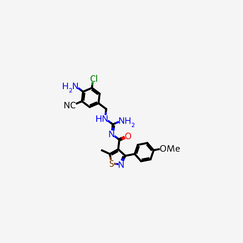 COc1ccc(-c2nsc(C)c2C(=O)/N=C(\N)NCc2cc(Cl)c(N)c(C#N)c2)cc1